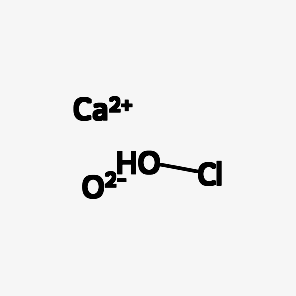 OCl.[Ca+2].[O-2]